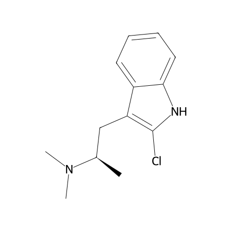 C[C@H](Cc1c(Cl)[nH]c2ccccc12)N(C)C